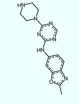 Cc1nc2ccc(Nc3ncnc(N4CCNCC4)n3)cc2o1